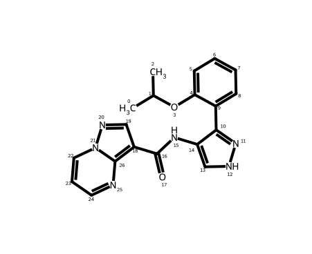 CC(C)Oc1ccccc1-c1n[nH]cc1NC(=O)c1cnn2cccnc12